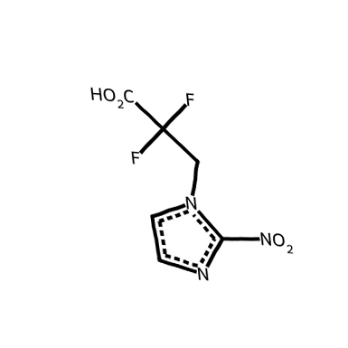 O=C(O)C(F)(F)Cn1ccnc1[N+](=O)[O-]